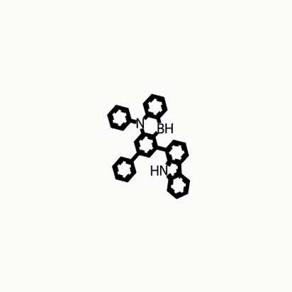 B1c2ccccc2N(c2ccccc2)c2cc(-c3ccccc3)cc(-c3cccc4c3[nH]c3ccccc34)c21